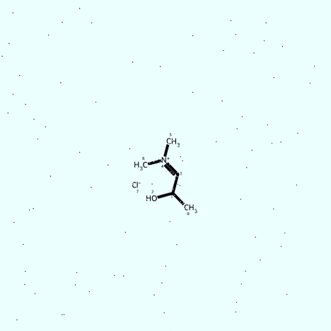 CC(O)C=[N+](C)C.[Cl-]